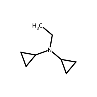 CCN(C1CC1)C1CC1